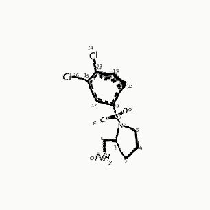 NCC1CCCN1S(=O)(=O)c1ccc(Cl)c(Cl)c1